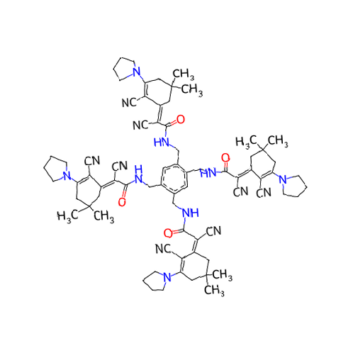 CC1(C)CC(N2CCCC2)=C(C#N)/C(=C(/C#N)C(=O)NCc2cc(CNC(=O)/C(C#N)=C3\CC(C)(C)CC(N4CCCC4)=C3C#N)c(CNC(=O)/C(C#N)=C3\CC(C)(C)CC(N4CCCC4)=C3C#N)cc2CNC(=O)/C(C#N)=C2\CC(C)(C)CC(N3CCCC3)=C2C#N)C1